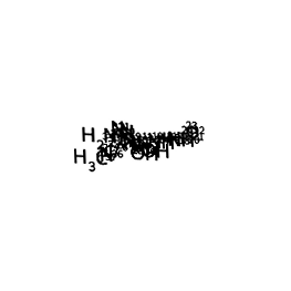 CN1CCC(c2cn([C@@H]3C[C@H](CNCCCNCCc4ccccc4)[C@@H](O)[C@H]3O)c3ncnc(N)c23)CC1